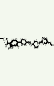 CCc1cnc(N2CCC(ON=C3CCC(c4ccc(C(N)=O)c(F)c4F)CC3)CC2)nc1